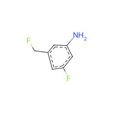 Nc1cc(F)cc(CF)c1